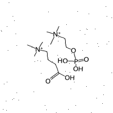 C[N+](C)(C)CCCC(=O)O.C[N+](C)(C)CCOP(=O)(O)O